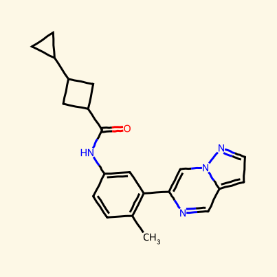 Cc1ccc(NC(=O)C2CC(C3CC3)C2)cc1-c1cn2nccc2cn1